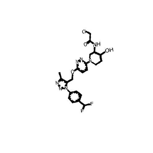 Cc1nnn(-c2ccc(C(F)F)cc2)c1COc1ccc(N2CCC(O)C(NC(=O)CCl)C2)nn1